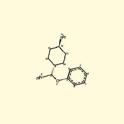 CCCC(Oc1ccccc1)[C@H]1CC[C@H](CCC)CC1